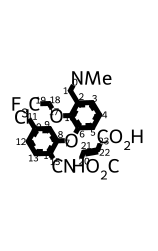 CNCc1cccc(Oc2cc(Cl)ccc2C#N)c1OCC(F)(F)F.O=C(O)C=CC(=O)O